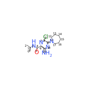 C=C(C)NC(=O)c1nc(Cl)c(N2CCCCCC2)nc1N